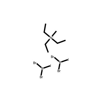 BrB(Br)I.BrB(Br)I.CC[N+](C)(CC)CC